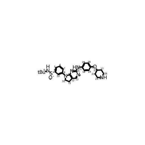 CC(C)(C)N[S+]([O-])c1cccc(N2CCc3cnc(Nc4ccc(OC5CCNCC5)cc4)nc32)c1